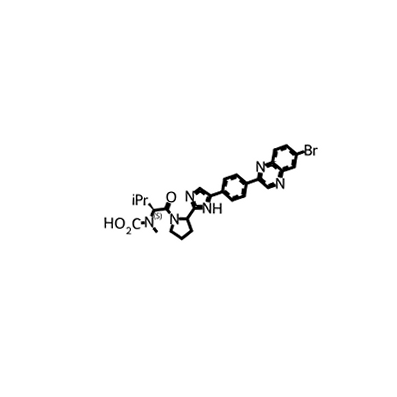 CC(C)[C@@H](C(=O)N1CCCC1c1ncc(-c2ccc(-c3cnc4cc(Br)ccc4n3)cc2)[nH]1)N(C)C(=O)O